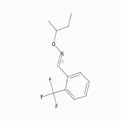 CCC(C)O/N=[C]/c1ccccc1C(F)(F)F